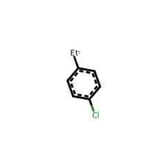 C[C]c1ccc(Cl)cc1